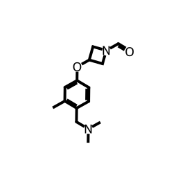 Cc1cc(OC2CN(C=O)C2)ccc1CN(C)C